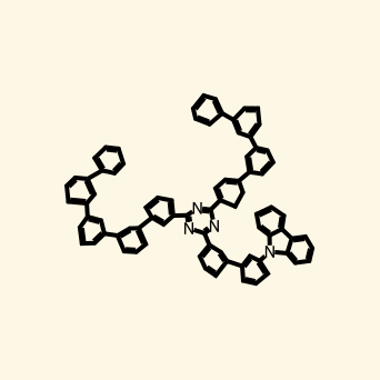 C1=C(c2cccc(-c3cccc(-c4ccccc4)c3)c2)CCC(c2nc(-c3cccc(-c4cccc(-c5cccc(-c6cccc(-c7ccccc7)c6)c5)c4)c3)nc(-c3cccc(-c4cccc(-n5c6ccccc6c6ccccc65)c4)c3)n2)=C1